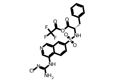 NC(=NCl)Nc1cncc2cc(S(=O)(=O)N[C@@H](Cc3ccccc3)C(=O)OC(=O)C(F)(F)F)ccc12